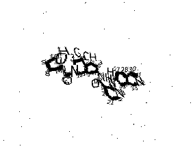 CC1(C)CN(C(=O)[C@H]2CCCO2)Cc2cc(NC(=O)c3cccnc3Nc3ccc4ccncc4c3)ccc21